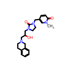 Cn1cc(CN2CCN(CC(O)CN3CCc4ccccc4C3)C2=O)ccc1=O